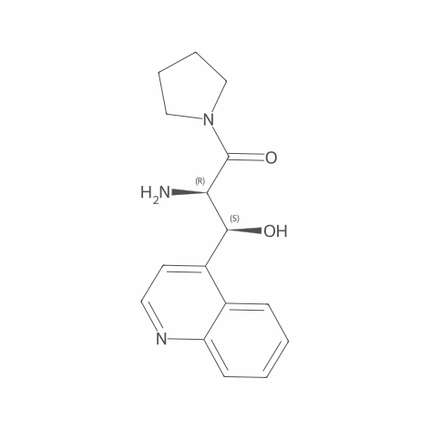 N[C@@H](C(=O)N1CCCC1)[C@@H](O)c1ccnc2ccccc12